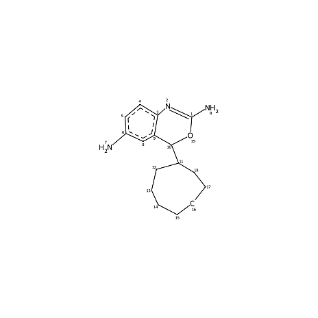 NC1=Nc2ccc(N)cc2C(C2CCCCCCC2)O1